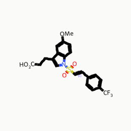 COc1ccc2c(c1)c(CCC(=O)O)cn2S(=O)(=O)/C=C/c1ccc(C(F)(F)F)cc1